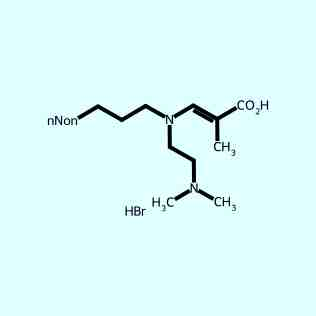 Br.CCCCCCCCCCCCN(C=C(C)C(=O)O)CCN(C)C